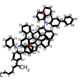 C=C/C=C\C=C(/C)c1ccc(N(c2ccccc2)c2ccc3c4c(c5ccccc5c3c2)-c2cc(N(c3ccccc3)c3ccc(-c5ccccc5)cc3-c3ccccc3)c3ccccc3c2C42c3ccccc3-c3ccccc32)c(-c2ccccc2)c1